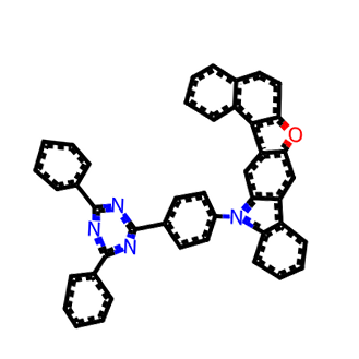 c1ccc(-c2nc(-c3ccccc3)nc(-c3ccc(-n4c5ccccc5c5cc6oc7ccc8ccccc8c7c6cc54)cc3)n2)cc1